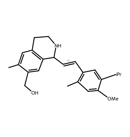 COc1cc(C)c(/C=C/C2NCCc3cc(C)c(CO)cc32)cc1C(C)C